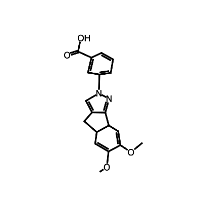 COC1=CC2Cc3cn(-c4cccc(C(=O)O)c4)nc3C2C=C1OC